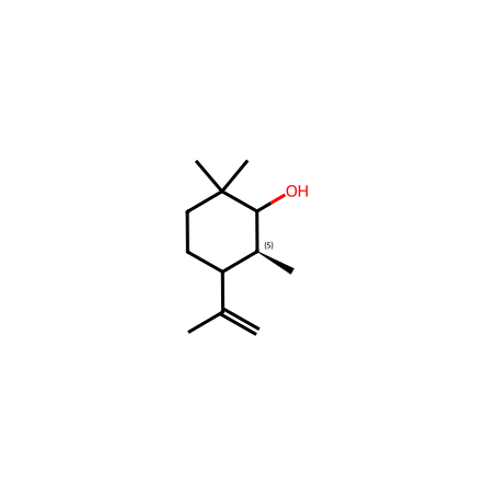 C=C(C)C1CCC(C)(C)C(O)[C@H]1C